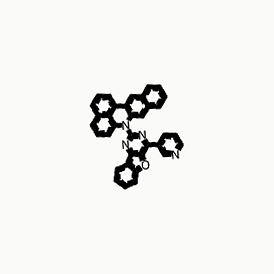 c1cncc(-c2nc(N3c4cc5ccccc5cc4-c4cccc5cccc3c45)nc3c2oc2ccccc23)c1